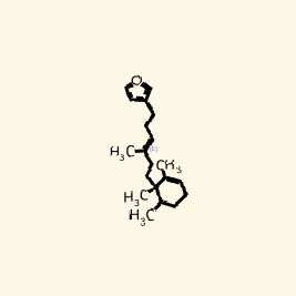 CC1=CCCC(C)C1(C)CC/C(C)=C/CCc1ccoc1